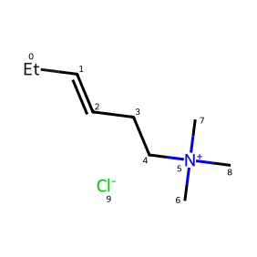 CCC=CCC[N+](C)(C)C.[Cl-]